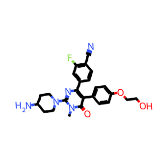 Cn1c(N2CCC(N)CC2)nc(-c2ccc(C#N)c(F)c2)c(-c2ccc(OCCO)cc2)c1=O